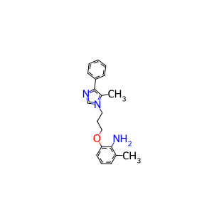 Cc1cccc(OCCCn2cnc(-c3ccccc3)c2C)c1N